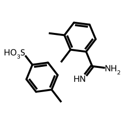 Cc1ccc(S(=O)(=O)O)cc1.Cc1cccc(C(=N)N)c1C